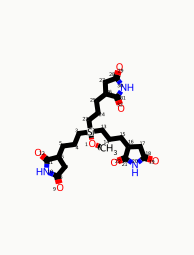 CO[Si](CCCC1CC(=O)NC1=O)(CCCC1CC(=O)NC1=O)CCCC1CC(=O)NC1=O